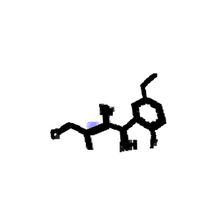 CCc1ccc(F)c(C(=N)/C(Br)=C(\C)CCl)c1